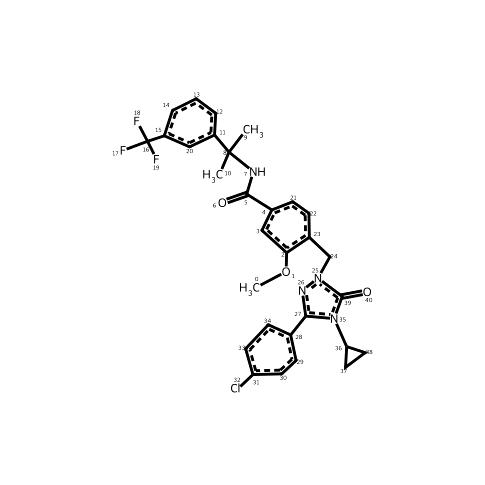 COc1cc(C(=O)NC(C)(C)c2cccc(C(F)(F)F)c2)ccc1Cn1nc(-c2ccc(Cl)cc2)n(C2CC2)c1=O